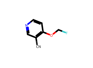 N#Cc1cnccc1OCF